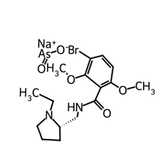 CCN1CCC[C@H]1CNC(=O)c1c(OC)ccc(Br)c1OC.O=[As][O-].[Na+]